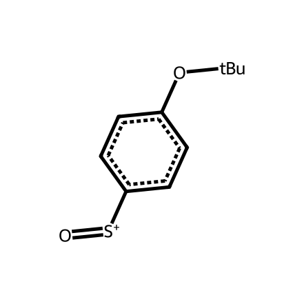 CC(C)(C)Oc1ccc([S+]=O)cc1